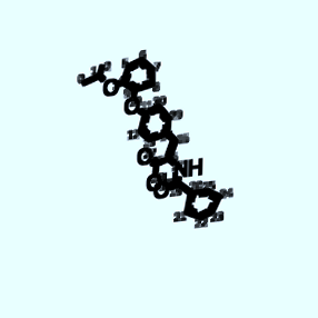 CC(C)Oc1ccccc1Oc1ccc(/C=C(/NC(=O)c2ccccc2)C(=O)O)cc1